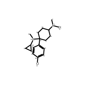 CCN(C)C1CCC(c2ccc(Cl)cc2)(N(C)C2CC2)CC1